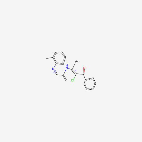 C=C(/C=N\c1ccccc1C)N/C(C(C)=O)=C(\Cl)C(=O)c1ccccc1